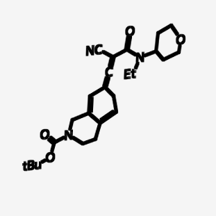 CCN(C(=O)C(=C=C1C=C2CN(C(=O)OC(C)(C)C)CCC2=CC1)C#N)C1CCOCC1